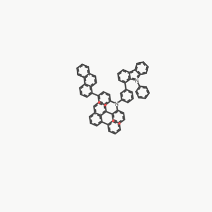 c1ccc(-c2cccc3cccc(-c4ccccc4N(c4ccc(-c5cccc6c5ccc5ccccc56)cc4)c4cccc(-c5cccc6c7ccccc7n(-c7ccccc7)c56)c4)c23)cc1